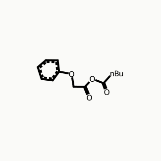 [CH2]CCCC(=O)OC(=O)COc1ccccc1